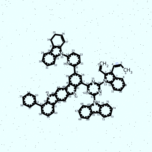 C=Cc1c(/C=C\C)c2ccccc2n1-c1nc(-c2cc(-c3cccc(-n4c5c(c6ccccc64)CCC=C5)n3)cc3c2sc2cc4c(cc23)sc2c(-c3ccccc3)cccc24)nc(-n2c3ccccc3c3ccccc32)n1